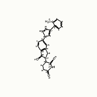 Cc1ccccc1-c1cn(-c2ccc3c(c2)CN(C2CCC(=O)NC2=O)C3=O)nn1